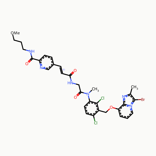 COCCCNC(=O)c1ccc(/C=C/C(=O)NCC(=O)N(C)c2ccc(Cl)c(COc3cccn4c(Br)c(C)nc34)c2Cl)cn1